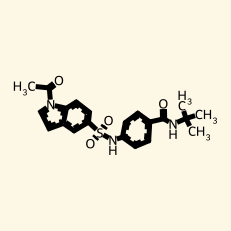 CC(=O)n1ccc2cc(S(=O)(=O)Nc3ccc(C(=O)NC(C)(C)C)cc3)ccc21